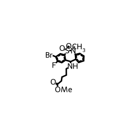 COC(=O)CCCCNC1c2ccccc2N(C)S(=O)(=O)c2cc(Br)c(F)cc21